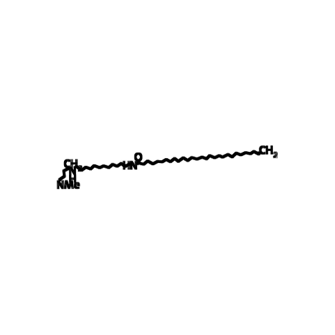 C=CCCCCCCCCCCCCCCCCCCCCCCCCCCC(=O)NCCCCCCCCCCCCCNC(=C)CCCNC